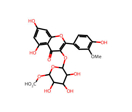 COc1cc(-c2oc3cc(O)cc(O)c3c(=O)c2OC2OC(OC(=O)O)C(O)C(O)C2O)ccc1O